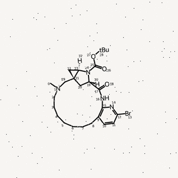 CN1CCCCCCCc2ccc(Br)nc2NC(=O)[C@@H]2C[C@]3(C[C@H]3N2C(=O)OC(C)(C)C)C1